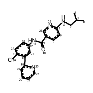 CC(C)CNc1ccc(C(=O)Nc2ccc(Cl)c(-c3ccccn3)c2)cn1